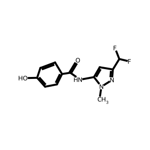 Cn1nc(C(F)F)cc1NC(=O)c1ccc(O)cc1